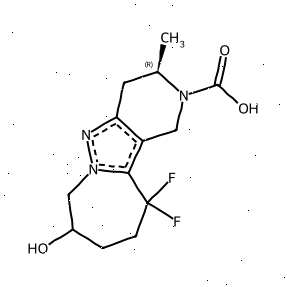 C[C@@H]1Cc2nn3c(c2CN1C(=O)O)C(F)(F)CCC(O)C3